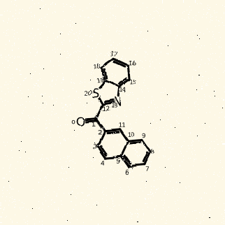 O=C(c1ccc2ccccc2c1)c1nc2ccccc2s1